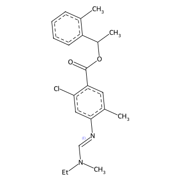 CCN(C)/C=N/c1cc(Cl)c(C(=O)OC(C)c2ccccc2C)cc1C